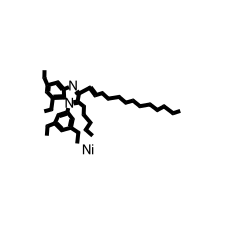 CCCCCCCCCCCC=CC(=Nc1cc(CC)cc(CC)c1)C(CCCCC)=Nc1cc(CC)cc(CC)c1.[Ni]